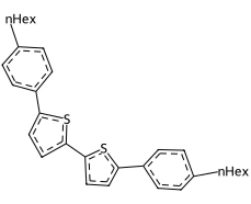 CCCCCCc1ccc(-c2ccc(-c3ccc(-c4ccc(CCCCCC)cc4)s3)s2)cc1